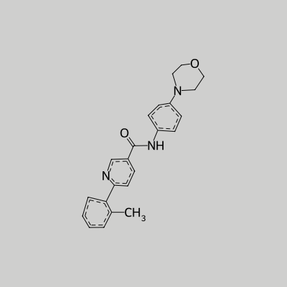 Cc1ccccc1-c1ccc(C(=O)Nc2ccc(N3CCOCC3)cc2)cn1